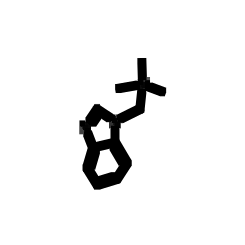 C[Si](C)(C)Cn1[c]nc2ccccc21